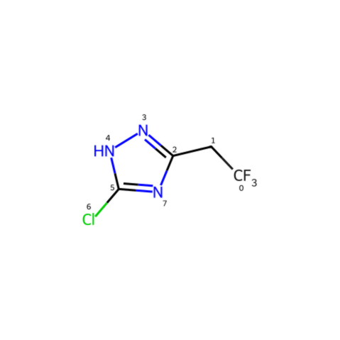 FC(F)(F)Cc1n[nH]c(Cl)n1